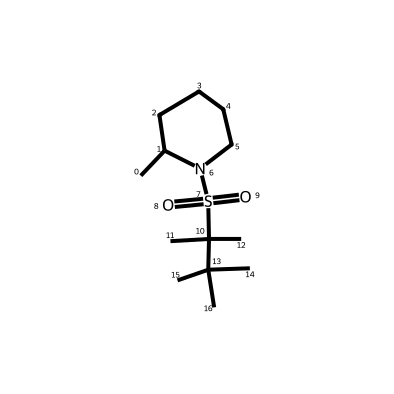 CC1CCCCN1S(=O)(=O)C(C)(C)C(C)(C)C